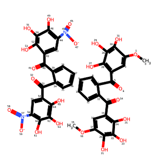 COc1cc(C(=O)c2ccccc2C(=O)c2cc(OC)c(O)c(O)c2O)c(O)c(O)c1O.O=C(c1ccccc1C(=O)c1cc([N+](=O)[O-])c(O)c(O)c1O)c1cc([N+](=O)[O-])c(O)c(O)c1O